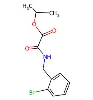 CC(C)OC(=O)C(=O)NCc1ccccc1Br